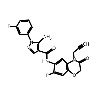 C#CCN1C(=O)COc2cc(F)c(NC(=O)c3cnn(-c4cccc(F)c4)c3N)cc21